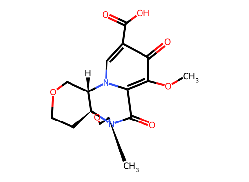 COc1c2n(cc(C(=O)O)c1=O)[C@H]1COCC[C@]13OC[C@@H](C)N3C2=O